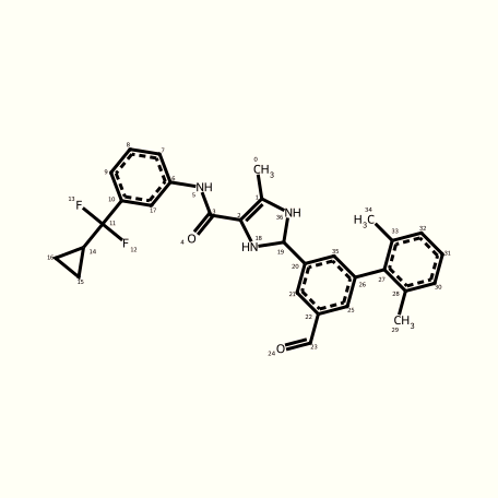 CC1=C(C(=O)Nc2cccc(C(F)(F)C3CC3)c2)NC(c2cc(C=O)cc(-c3c(C)cccc3C)c2)N1